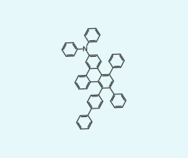 c1ccc(-c2ccc(-c3c(-c4ccccc4)cc(-c4ccccc4)c4c5ccc(N(c6ccccc6)c6ccccc6)cc5c5ccccc5c34)cc2)cc1